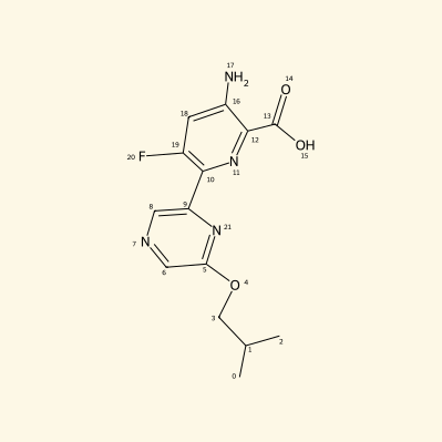 CC(C)COc1cncc(-c2nc(C(=O)O)c(N)cc2F)n1